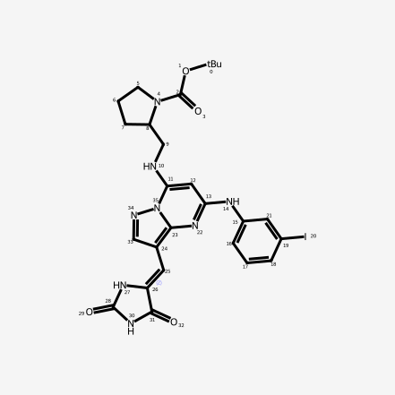 CC(C)(C)OC(=O)N1CCCC1CNc1cc(Nc2cccc(I)c2)nc2c(/C=C3\NC(=O)NC3=O)cnn12